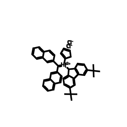 CC(C)(C)c1ccc2c(c1)-c1cc(C(C)(C)C)ccc1[CH]2[Hf+2]([C]1=CC=CC1)=[C](c1ccc2ccccc2c1)c1ccc2ccccc2c1.[Cl-].[Cl-]